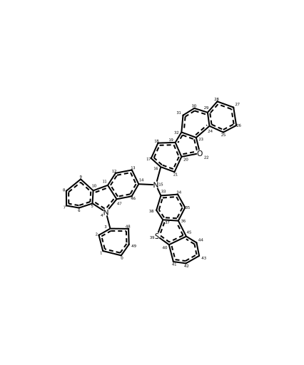 c1ccc(-n2c3ccccc3c3ccc(N(c4ccc5c(c4)oc4c6ccccc6ccc54)c4ccc5c(c4)sc4ccccc45)cc32)cc1